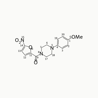 COc1ccc(N2CCN(C(=O)c3ccc([N+](=O)[O-])o3)CC2)cc1